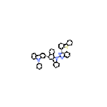 c1ccc(-n2c3ccccc3c3ccc(-c4cc5c6ccccc6n(-c6nc(-c7cccc8c7sc7ccccc78)c7ccccc7n6)c5c5ccccc45)cc32)cc1